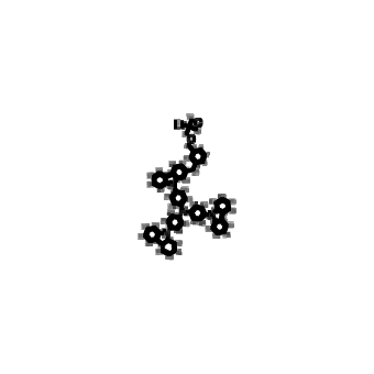 CCC1(COCc2cccc(Cc3ccc4c5ccccc5n(-c5ccc(N(c6ccc(N7c8ccccc8C8C=CC=CC87)cc6)c6ccc(-n7c8ccccc8c8ccccc87)cc6)cc5)c4c3)c2)COC1